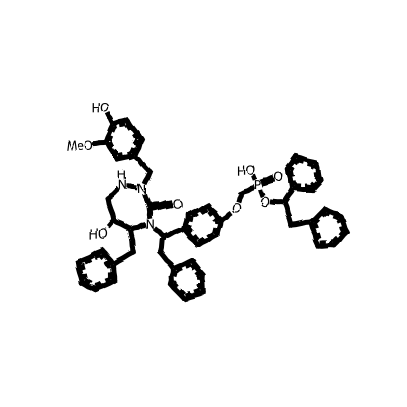 COc1cc(CN2NCC(O)C(Cc3ccccc3)N(C(Cc3ccccc3)c3ccc(OCP(=O)(O)OC(Cc4ccccc4)c4ccccc4)cc3)C2=O)ccc1O